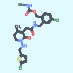 CC1=C(CC(=O)NCc2cc(Cl)ccc2COC(=O)NC(C)(C)C)C(=O)N(NCc2ccc(Cl)s2)CC1